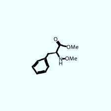 CON[C@@H](Cc1ccccc1)C(=O)OC